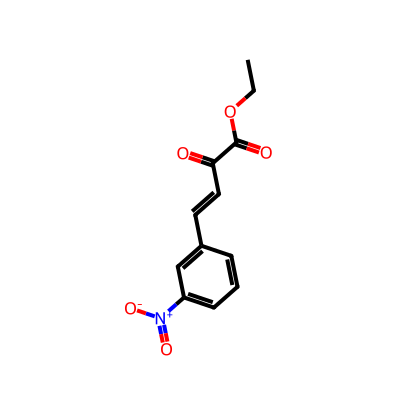 CCOC(=O)C(=O)C=Cc1cccc([N+](=O)[O-])c1